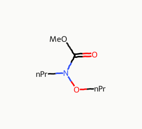 CCCON(CCC)C(=O)OC